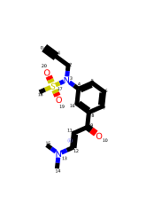 C#CCN(c1cccc(C(=O)/C=C/N(C)C)c1)S(C)(=O)=O